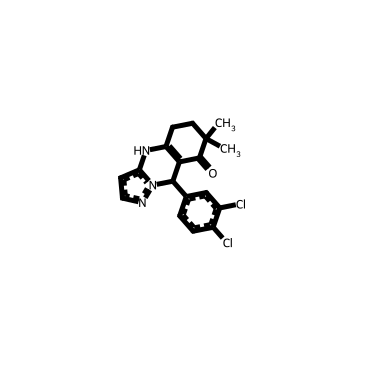 CC1(C)CCC2=C(C1=O)C(c1ccc(Cl)c(Cl)c1)n1nccc1N2